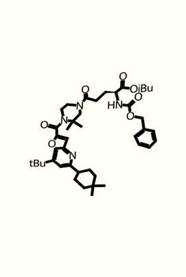 CC(C)COC(=O)[C@H](CCC(=O)N1CCN(C(=O)c2cc3nc(C4CCC(C)(C)CC4)cc(C(C)(C)C)c3o2)C(C)(C)C1)NC(=O)OCc1ccccc1